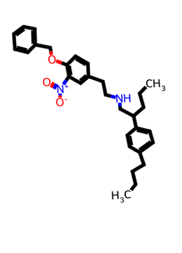 CCCCc1ccc(C(CCC)CNCCc2ccc(OCc3ccccc3)c([N+](=O)[O-])c2)cc1